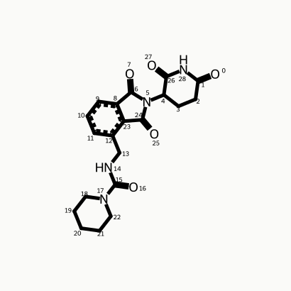 O=C1CCC(N2C(=O)c3cccc(CNC(=O)N4CCCCC4)c3C2=O)C(=O)N1